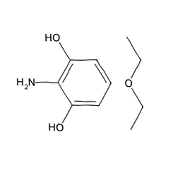 CCOCC.Nc1c(O)cccc1O